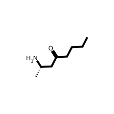 CCCCC(=O)C[C@H](C)N